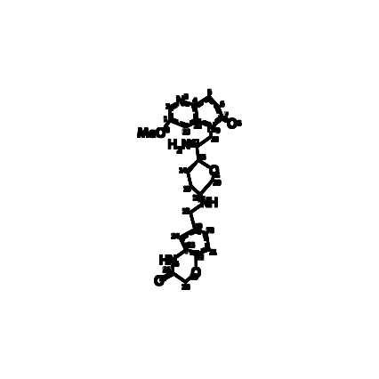 COc1cnc2ccc(=O)n(C[C@H](N)[C@@H]3CC[C@@H](NCc4ccc5c(c4)NC(=O)CO5)CO3)c2c1